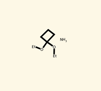 CCOC1(OCC)CCC1.N